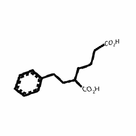 O=C(O)CCCC(CCc1ccccc1)C(=O)O